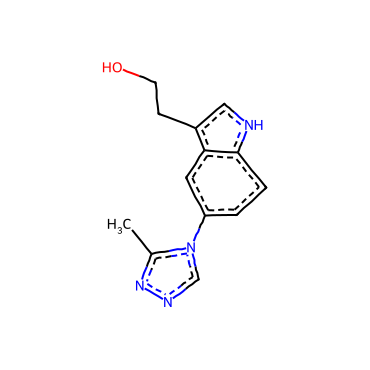 Cc1nncn1-c1ccc2[nH]cc(CCO)c2c1